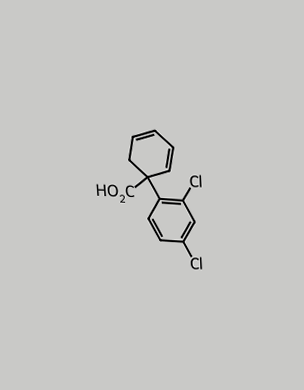 O=C(O)C1(c2ccc(Cl)cc2Cl)C=CC=CC1